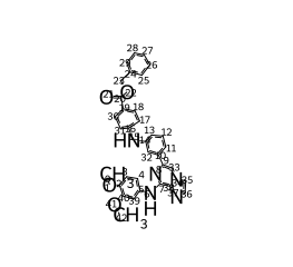 COc1ccc(Nc2nc(-c3cccc(Nc4ccc(C(=O)OCc5ccccc5)cc4)c3)cn3ccnc23)cc1OC